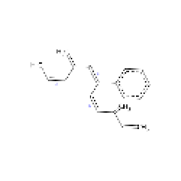 C=CC(=C)/C=C\C(=N/C(=C)/C=C\C)c1ccccc1